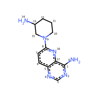 Nc1ncnc2ccc(N3CCCC(N)C3)nc12